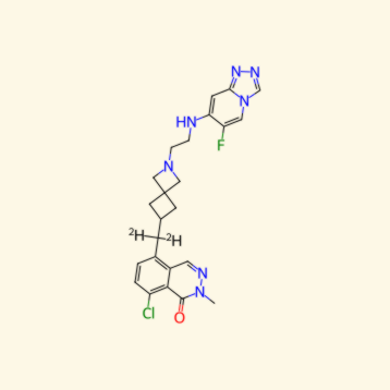 [2H]C([2H])(c1ccc(Cl)c2c(=O)n(C)ncc12)C1CC2(C1)CN(CCNc1cc3nncn3cc1F)C2